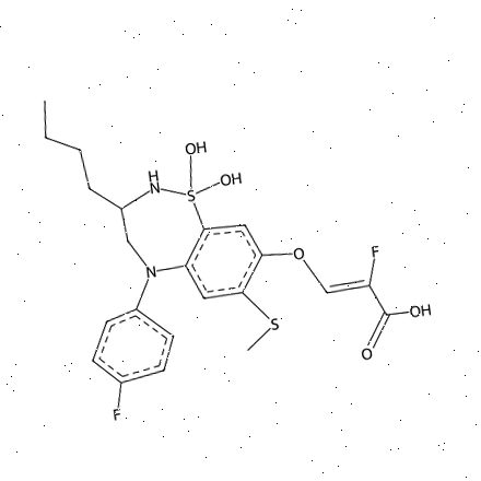 CCCCC1CN(c2ccc(F)cc2)c2cc(SC)c(O/C=C(\F)C(=O)O)cc2S(O)(O)N1